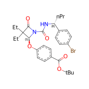 CCC[C@@H](NC(=O)N1C(=O)C(CC)(CC)[C@@H]1Oc1ccc(C(=O)OC(C)(C)C)cc1)c1ccc(Br)cc1